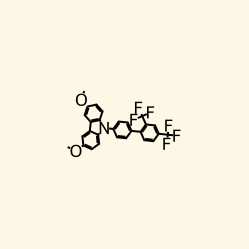 COc1ccc2c(c1)c1cc(OC)ccc1n2-c1ccc(-c2ccc(C(F)(F)F)cc2C(F)(F)F)cc1